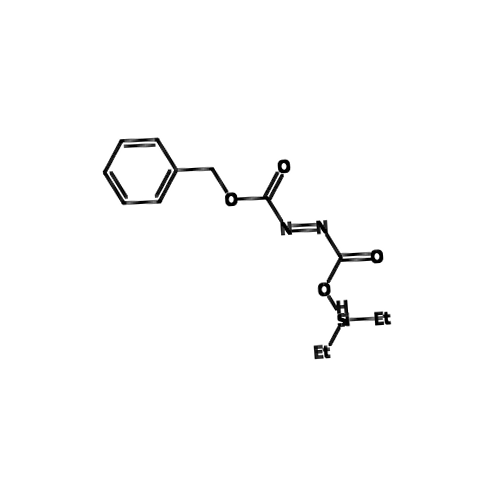 CC[SiH](CC)OC(=O)N=NC(=O)OCc1ccccc1